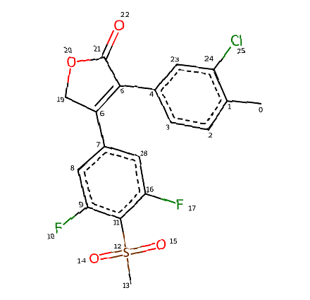 Cc1ccc(C2=C(c3cc(F)c(S(C)(=O)=O)c(F)c3)COC2=O)cc1Cl